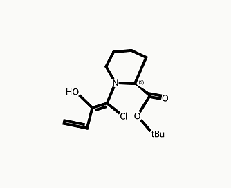 C=CC(O)=C(Cl)N1CCCC[C@H]1C(=O)OC(C)(C)C